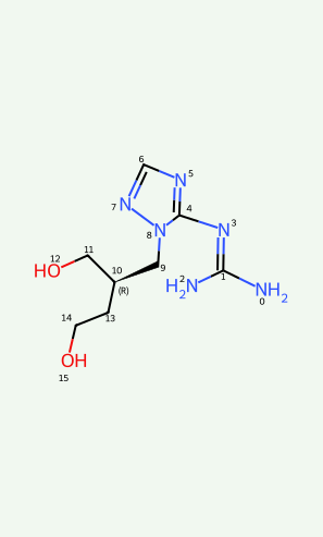 NC(N)=Nc1ncnn1C[C@H](CO)CCO